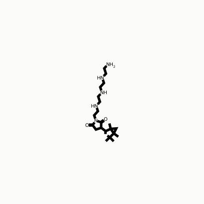 CC(C1CC(=O)N(CCNCCNCCNCCN)C1=O)C1(C)CC1(C)C(C)(C)C